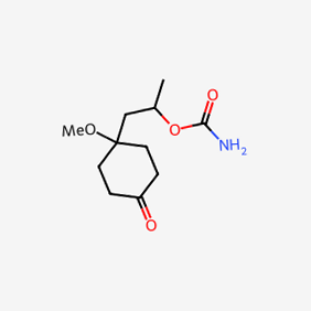 COC1(CC(C)OC(N)=O)CCC(=O)CC1